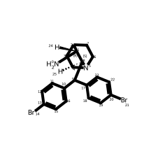 N[C@@H]1C2CCN(CC2)[C@H]1C(c1ccc(Br)cc1)c1ccc(Br)cc1